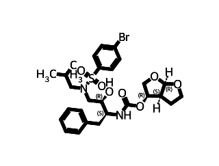 CC(C)CN(C[C@@H](O)[C@H](Cc1ccccc1)NC(=O)O[C@H]1CO[C@H]2OCC[C@H]21)S(=O)(=O)c1ccc(Br)cc1